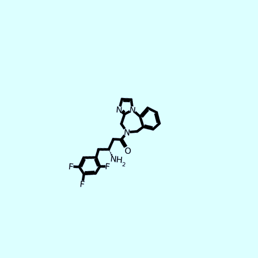 N[C@@H](CC(=O)N1Cc2ccccc2-n2ccnc2C1)Cc1cc(F)c(F)cc1F